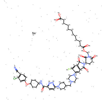 N#Cc1ccc(OC2CCC(NC(=O)c3ccc(N4CCC(CN5CCN(c6cc7c(cc6F)C(=O)N(C6CCC(=O)N(COC(=O)CCCCCCCCCCC(=O)[O-])C6=O)C7=O)CC5)CC4)nn3)CC2)cc1Cl.[Na+]